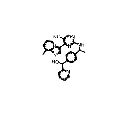 Cc1cccn2c(-c3nc(N[C@@H](C)c4ccc(C(O)c5ccccn5)cc4)ncc3C#N)cnc12